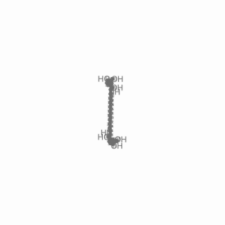 OCc1cc(C(O)CNCCCCCCCCCCCCCCCCCCNCC(O)c2ccc(O)c(CO)c2)ccc1O